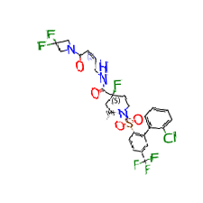 C[C@@H]1C[C@](F)(C(=O)NC/C=C\C(=O)N2CC(F)(F)C2)CCN1S(=O)(=O)c1ccc(C(F)(F)F)cc1-c1ccccc1Cl